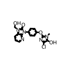 Cn1c(Oc2ccc(-n3c(=O)n(CO)c4cccnc43)cc2)nc(Cl)c1O